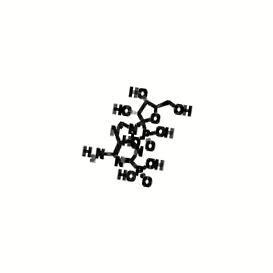 Nc1nc(P(=O)(O)O)nc2c1ncn2[C@]1(P(=O)(O)O)O[C@H](CO)[C@@H](O)[C@H]1O